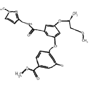 COC[C@H](C)Oc1cc(Oc2ccc(C(=O)OC)cc2Cl)cc(C(=O)Nc2ccn(C)n2)c1